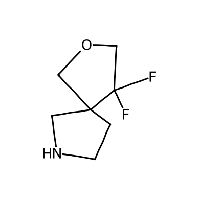 FC1(F)COCC12CCNC2